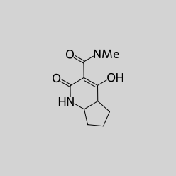 CNC(=O)C1=C(O)C2CCCC2NC1=O